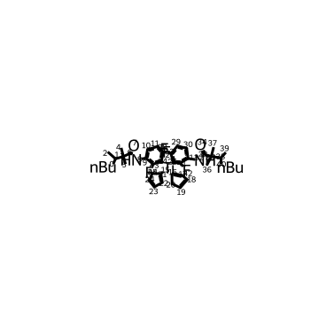 CCCCC(C)C(C)(C)C(=O)Nc1ccc(F)[c]([Ti]([C]2=CC=CC2)([C]2=CC=CC2)[c]2c(F)ccc(NC(=O)C(C)(C)C(C)CCCC)c2F)c1F